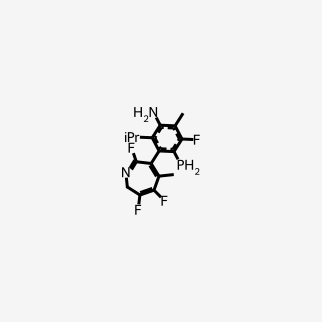 CC1=C(c2c(P)c(F)c(C)c(N)c2C(C)C)C(F)=NCC(F)=C1F